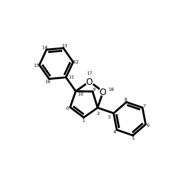 C1=CC2(c3ccccc3)CC1(c1ccccc1)OO2